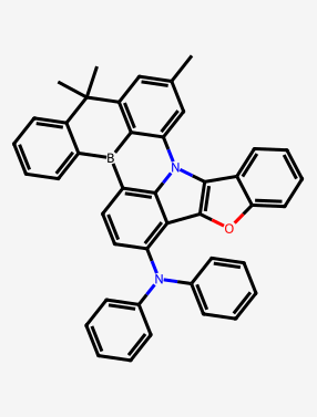 Cc1cc2c3c(c1)C(C)(C)c1ccccc1B3c1ccc(N(c3ccccc3)c3ccccc3)c3c4oc5ccccc5c4n-2c13